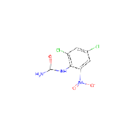 NC(=O)Nc1c(Cl)cc(Cl)cc1[N+](=O)[O-]